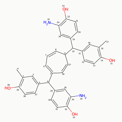 Cc1cc(C(C2=CC=CC(C(c3ccc(O)c(C)c3)c3ccc(O)c(N)c3)C=C2)c2ccc(O)c(N)c2)ccc1O